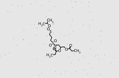 CCC(=O)OCC(CNS(=O)(=O)CCCSOOC(C)C)OC(=O)CC